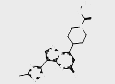 Cc1noc(-c2cnn3c(C4CCN(C(=O)OC(C)(C)C)CC4)cc(=O)[nH]c23)n1